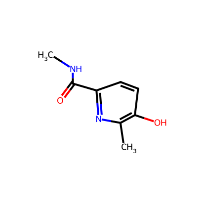 CNC(=O)c1ccc(O)c(C)n1